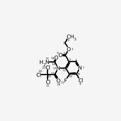 CCOC(=O)c1cnc(Cl)c(F)c1N(C(N)=O)C(=O)C(Cl)(Cl)Cl